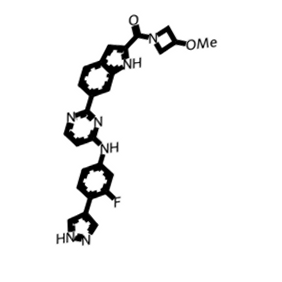 COC1CN(C(=O)c2cc3ccc(-c4nccc(Nc5ccc(-c6cn[nH]c6)c(F)c5)n4)cc3[nH]2)C1